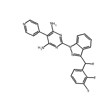 Nc1nc(-n2nc(C(F)c3cccc(F)c3F)c3ccccc32)nc(N)c1-c1ccncc1